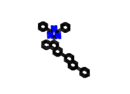 c1ccc(-c2ccc3cc(-c4ccc5c(c4)cc(-c4nc(-c6ccccc6)nc(-c6ccccc6)n4)c4ccccc45)ccc3c2)cc1